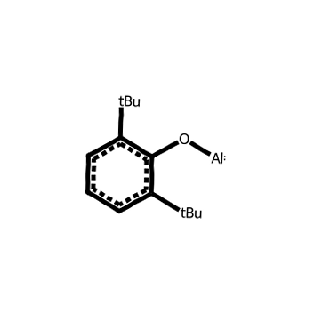 CC(C)(C)c1cccc(C(C)(C)C)c1[O][Al]